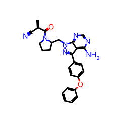 C=C(C#N)C(=O)N1CCCC1Cn1nc(-c2ccc(Oc3ccccc3)cc2)c2c(N)ncnc21